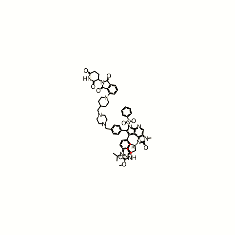 COC(=O)N[C@@H]1CC[C@@H](n2c(=O)n(C)c3cnc4c(c(-c5ccc6c(cnn6C(C)C)c5)c(-c5ccc(CN6CCN(CC7CCN(c8cccc9c8C(=O)N(C8CCC(=O)NC8=O)C9=O)CC7)CC6)cc5)n4S(=O)(=O)c4ccccc4)c32)C1